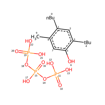 CCCCc1cc(C(C)(C)C)c(O)cc1C.O=P(O)(O)OP(=O)(O)OP(=O)(O)O